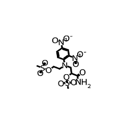 CS(=O)(=O)OCCN(CC(OS(C)(=O)=O)C(N)=O)c1ccc([N+](=O)[O-])cc1[N+](=O)[O-]